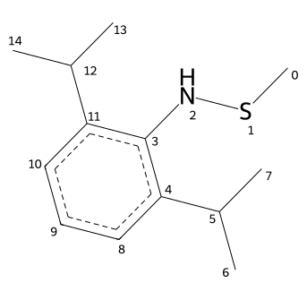 CSNc1c(C(C)C)cccc1C(C)C